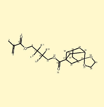 C=C(C)C(=O)OCC(F)(F)C(F)(F)COC(=O)C12CC3CC(C1)C1(OCCO1)C(C3)C2